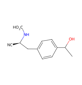 CC(O)c1ccc(C[C@@H](C#N)NC(=O)O)cc1